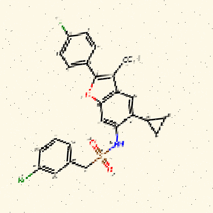 O=C(O)c1c(-c2ccc(F)cc2)oc2cc(NS(=O)(=O)Cc3cccc(Br)c3)c(C3CC3)cc12